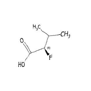 CC(C)[C@@H](F)C(=O)O